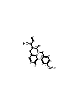 C=CC(O)C(Cc1ccc(F)cc1)C(C)OCc1ccc(OC)cc1